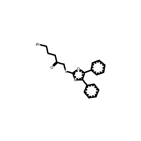 CC(C)CCCC(=O)CSc1nc(-c2ccccc2)c(-c2ccccc2)o1